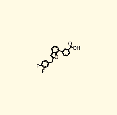 O=C(O)c1cccc(-c2cccc3cc(Cc4ccc(F)c(F)c4)oc23)c1